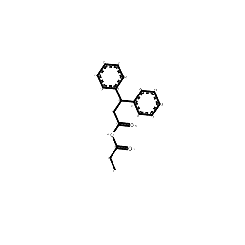 CCC(=O)OC(=O)CC(c1ccccc1)c1ccccc1